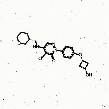 O=c1c(Cl)c(NC[C@H]2CCCOC2)cnn1-c1ccc(O[C@H]2C[C@H](O)C2)cc1